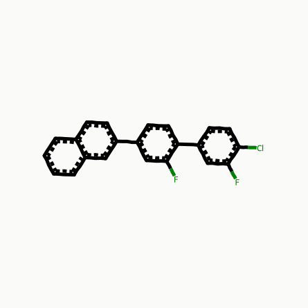 Fc1cc(-c2ccc(-c3ccc4ccccc4c3)cc2F)ccc1Cl